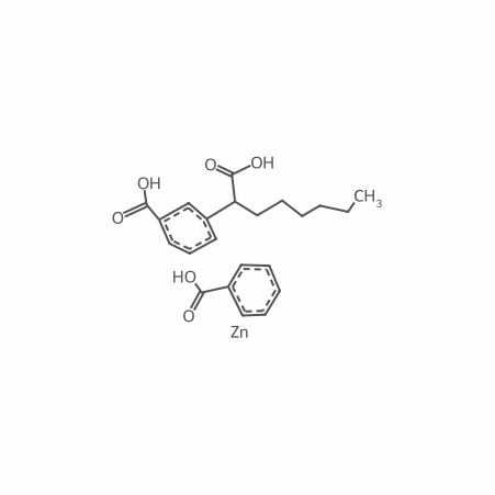 CCCCCCC(C(=O)O)c1cccc(C(=O)O)c1.O=C(O)c1ccccc1.[Zn]